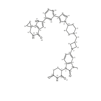 Cn1c(=O)n(C2CCC(=O)NC2=O)c2ccc(N3CC(CN4CCC(n5cc(-c6nccc(-c7cc8c([nH]7)C7(CC7)CNC8=O)n6)cn5)CC4)C3)cc21